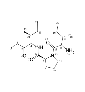 CCC(=O)C(NC(=O)[C@@H]1CCCN1C(=O)C(N)[C@@H](C)CC)[C@@H](C)CC